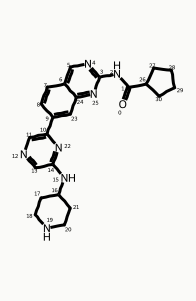 O=C(Nc1ncc2ccc(-c3cncc(NC4CCNCC4)n3)cc2n1)C1CCCC1